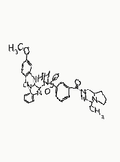 COc1ccc(Cl)c(Nc2nc3ccccc3nc2NS(=O)(=O)c2cccc(C(=O)NCC3CCCN3C(C)I)c2)c1